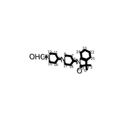 CC1(C)C(=O)N(C2CCN(C3CCN(C=O)CC3)CC2)C2=C1CCCC2